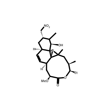 CC[C@H]1OC(=O)[C@@H](OC)C[C@H]2C=C[C@H]3C[C@H](C[N+](=O)[O-])C(C)[C@@H](O)[C@H]3[C@@]23OC3(C)C[C@H]1C